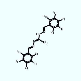 [2H]c1c([2H])c(/C=N/N=C(\N)N/N=C/c2c([2H])c([2H])c(Cl)c([2H])c2[2H])c([2H])c([2H])c1Cl